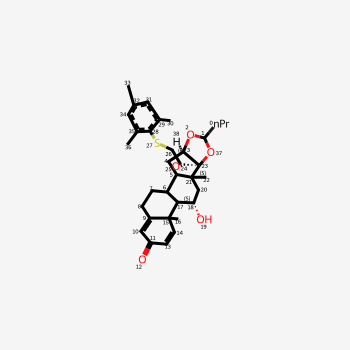 CCCC1O[C@@H]2CC3C4CCC5=CC(=O)C=CC5(C)C4[C@@H](O)CC3(C)[C@]2(C(=O)CSc2c(C)cc(C)cc2C)O1